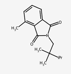 Cc1cccc2c1C(=O)N(CC(C)(C)C(C)C)C2=O